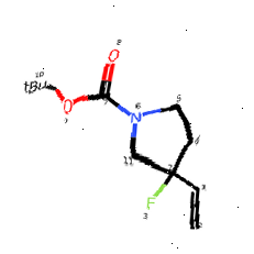 C=CC1(F)CCN(C(=O)OC(C)(C)C)C1